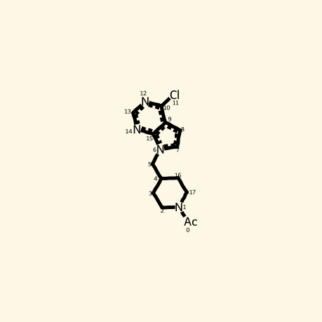 CC(=O)N1CCC(Cn2ccc3c(Cl)ncnc32)CC1